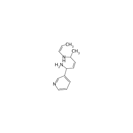 C/C=C\NC(C)/C=C\C(N)c1cccnc1